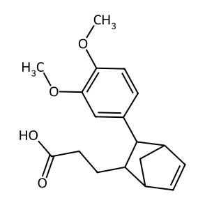 COc1ccc(C2C3C=CC(C3)C2CCC(=O)O)cc1OC